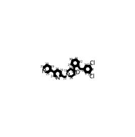 Clc1cc(Cl)cc(C2OC3(CCN(Cc4ccc(-c5cccnc5)cn4)CC3)c3ccccc32)c1